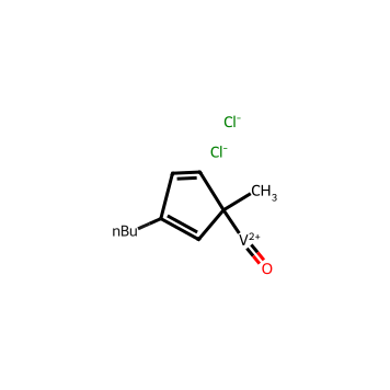 CCCCC1=C[C](C)([V+2]=[O])C=C1.[Cl-].[Cl-]